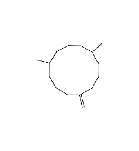 C=C1CCCC(C)CCCC(C)CCC1